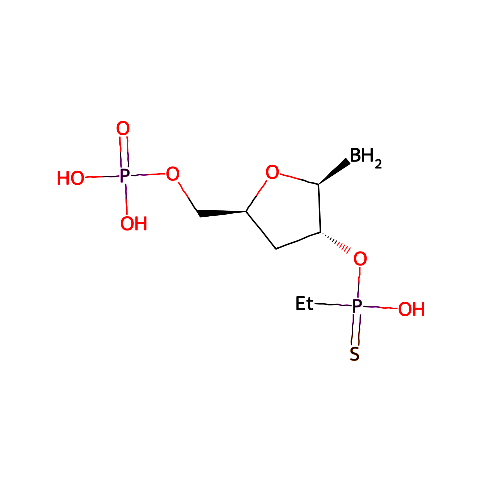 B[C@@H]1O[C@H](COP(=O)(O)O)C[C@H]1OP(O)(=S)CC